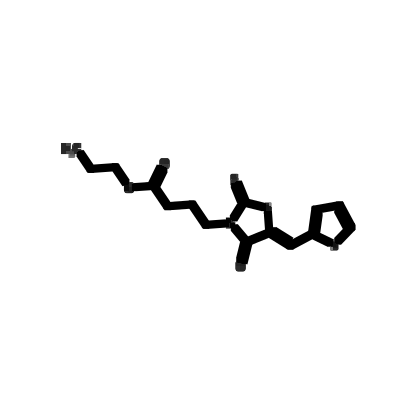 CCCOC(=O)CCCN1C(=O)/C(=C/c2cccs2)SC1=S